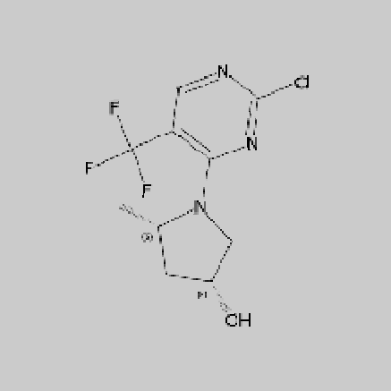 C[C@H]1C[C@@H](O)CN1c1nc(Cl)ncc1C(F)(F)F